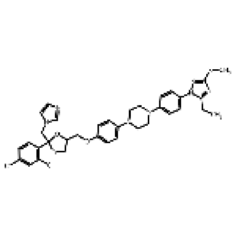 CCc1nc(SC)nn1-c1ccc(N2CCN(c3ccc(OCC4COC(Cn5ccnc5)(c5ccc(Cl)cc5Cl)O4)cc3)CC2)cc1